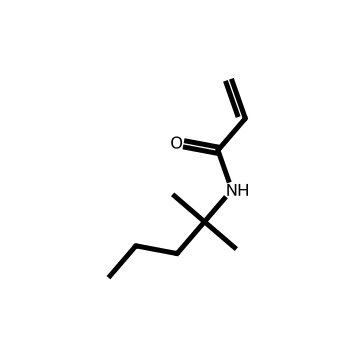 C=CC(=O)NC(C)(C)CCC